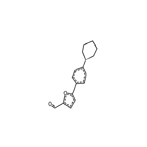 O=Cc1ccc(-c2ccc(C3CCCCC3)cc2)o1